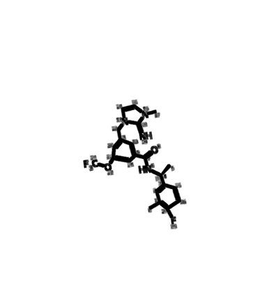 Cc1cc([C@H](C)NC(=O)c2cc(Cn3ccn(C)c3=N)cc(OC(F)(F)F)c2)ccc1F